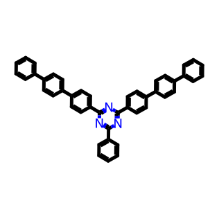 c1ccc(-c2ccc(-c3ccc(-c4nc(-c5ccccc5)nc(-c5ccc(-c6ccc(-c7ccccc7)cc6)cc5)n4)cc3)cc2)cc1